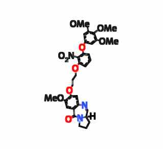 COc1cc2c(cc1OCCCOc1cccc(Oc3cc(OC)c(OC)c(OC)c3)c1[N+](=O)[O-])N=C[C@@H]1CCCN1C2=O